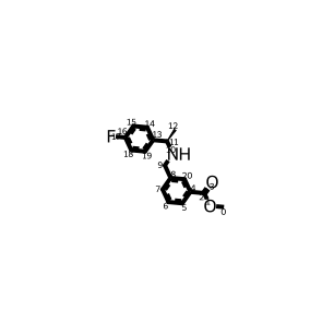 COC(=O)c1cccc(CN[C@H](C)c2ccc(F)cc2)c1